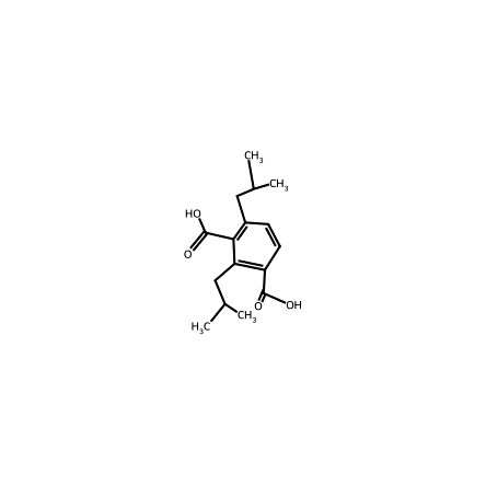 CC(C)Cc1ccc(C(=O)O)c(CC(C)C)c1C(=O)O